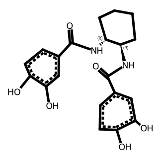 O=C(N[C@@H]1CCCC[C@H]1NC(=O)c1ccc(O)c(O)c1)c1ccc(O)c(O)c1